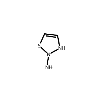 [NH]N1NC=CS1